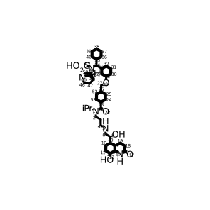 CC(C)N(CCCNC[C@@H](O)c1ccc(O)c2[nH]c(=O)ccc12)C(=O)c1ccc(COc2cccc(C(c3ccccc3)N(C(=O)O)[C@H]3CN4CCC3CC4)c2)cc1